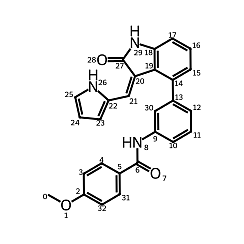 COc1ccc(C(=O)Nc2cccc(-c3cccc4c3/C(=C/c3ccc[nH]3)C(=O)N4)c2)cc1